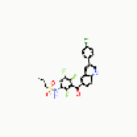 CCCS(=O)(=O)Nc1cc(F)c(F)c(C(=O)c2ccc3ncc(-c4ccc(Cl)cc4)cc3c2)c1F